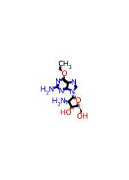 CCOc1nc(N)nc2c1ncn2[C@@H]1O[C@H](CO)[C@@H](O)[C@H]1N